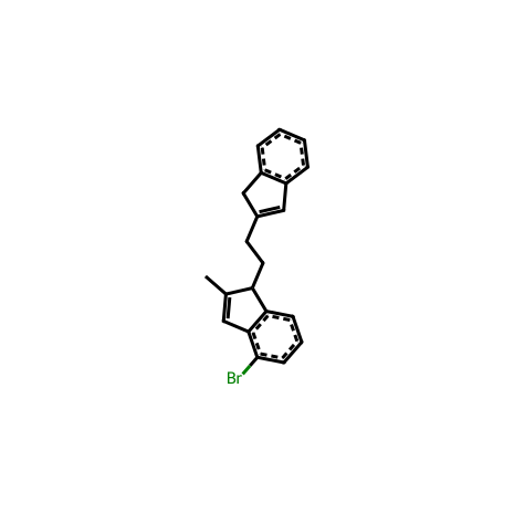 CC1=Cc2c(Br)cccc2C1CCC1=Cc2ccccc2C1